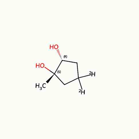 [2H]C1([2H])C[C@@H](O)[C@@](C)(O)C1